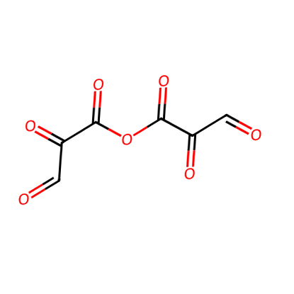 O=CC(=O)C(=O)OC(=O)C(=O)C=O